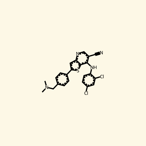 CN(C)Cc1ccc(-c2cc3ncc(C#N)c(Nc4ccc(Cl)cc4Cl)c3s2)cc1